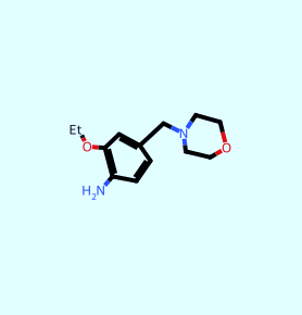 CCOc1cc(CN2CCOCC2)ccc1N